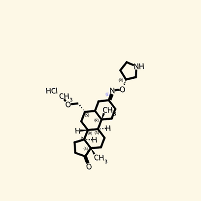 COC[C@H]1C[C@@H]2[C@H](CC[C@]3(C)C(=O)CC[C@@H]23)[C@@]2(C)CC/C(=N\O[C@@H]3CCNC3)CC12.Cl